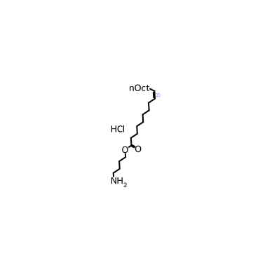 CCCCCCCC/C=C\CCCCCCCC(=O)OCCCCN.Cl